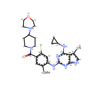 COc1cc(C(=O)N2CCC(N3CCOCC3)CC2)c(F)cc1Nc1nc(NC2CC2)c2c(C#N)c[nH]c2n1